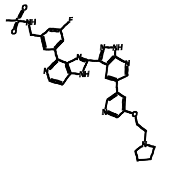 CS(=O)(=O)NCc1cc(F)cc(-c2nccc3[nH]c(-c4n[nH]c5ncc(-c6cncc(OCCN7CCCC7)c6)cc45)nc23)c1